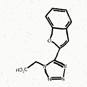 O=C(O)Cn1nnnc1-c1cc2ccccc2o1